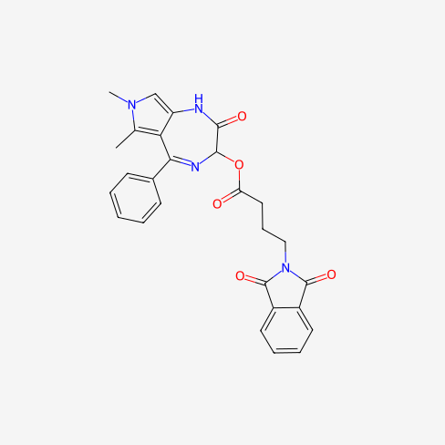 Cc1c2c(cn1C)NC(=O)C(OC(=O)CCCN1C(=O)c3ccccc3C1=O)N=C2c1ccccc1